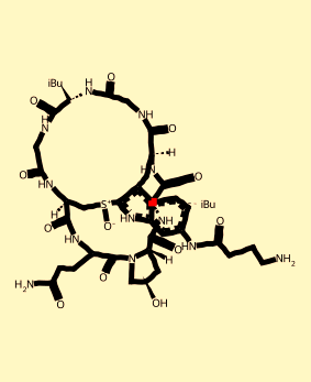 CC[C@H](C)[C@@H]1NC(=O)CNC(=O)[C@@H]2Cc3c([nH]c4cc(NC(=O)CCCN)ccc34)[S+]([O-])C[C@H](NC(=O)CNC1=O)C(=O)NC(CCC(N)=O)C(=O)N1C[C@H](O)C[C@H]1C(=O)N[C@@H]([C@@H](C)CC)C(=O)N2